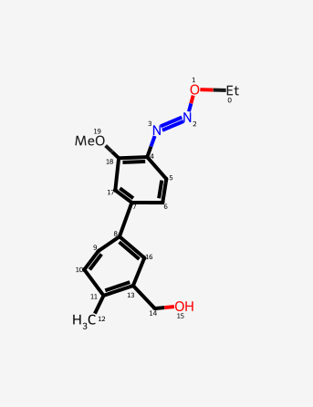 CCON=Nc1ccc(-c2ccc(C)c(CO)c2)cc1OC